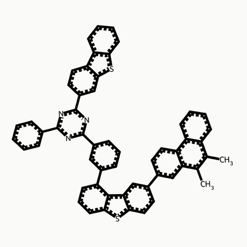 Cc1c(C)c2cc(-c3ccc4sc5cccc(-c6cccc(-c7nc(-c8ccccc8)nc(-c8ccc9c(c8)sc8ccccc89)n7)c6)c5c4c3)ccc2c2ccccc12